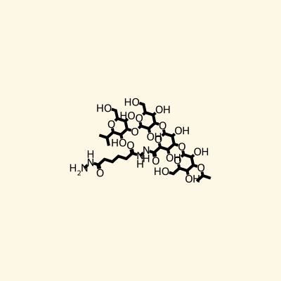 CC(C)OC1C(O)C(CO)OC(OC2C(O)C(OC3C(O)C(CO)OC(OC4C(O)C(CO)OC(C(C)C)C4O)C3O)OC(C(=O)NNC(=O)CCCCC(=O)NN)C2O)C1O